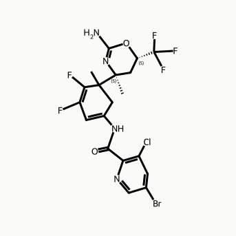 CC1([C@]2(C)C[C@@H](C(F)(F)F)OC(N)=N2)CC(NC(=O)c2ncc(Br)cc2Cl)=CC(F)=C1F